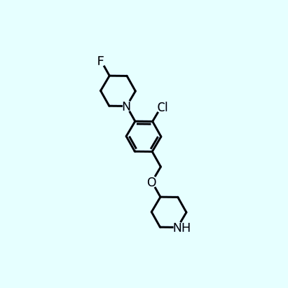 FC1CCN(c2ccc(COC3CCNCC3)cc2Cl)CC1